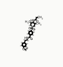 C=CC(=O)NC1C(C)CN(S(=O)(=O)c2ccc(C(=O)NCCc3ccc4c(c3)OCO4)cc2)CC1C